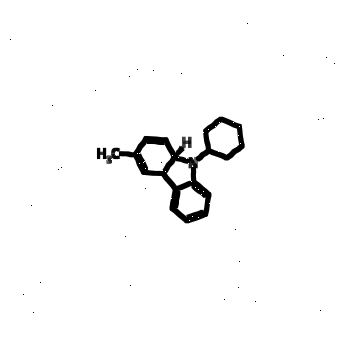 CC1=CC2c3ccccc3N(C3CCCCC3)[C@H]2C=C1